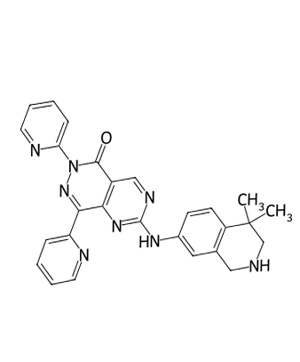 CC1(C)CNCc2cc(Nc3ncc4c(=O)n(-c5ccccn5)nc(-c5ccccn5)c4n3)ccc21